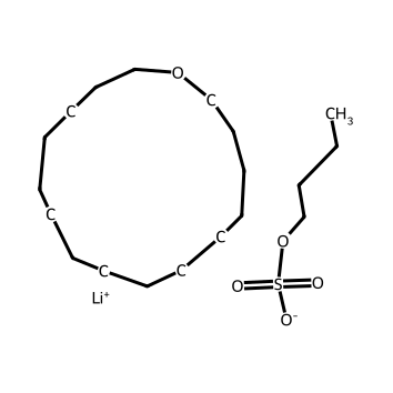 C1CCCCCCCOCCCCCCC1.CCCCOS(=O)(=O)[O-].[Li+]